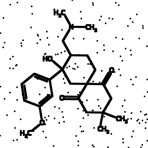 COc1cccc(C2(O)CC3(CCC2CN(C)C)C(=O)CC(C)(C)CC3=O)c1